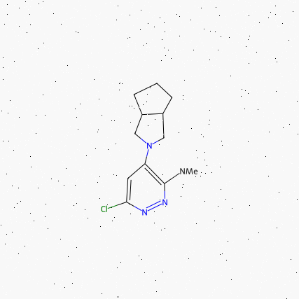 CNc1nnc(Cl)cc1N1CC2CCCC2C1